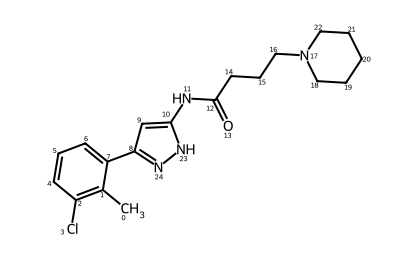 Cc1c(Cl)cccc1-c1cc(NC(=O)CCCN2CCCCC2)[nH]n1